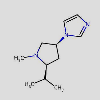 CC(C)[C@@H]1C[C@H](n2ccnc2)CN1C